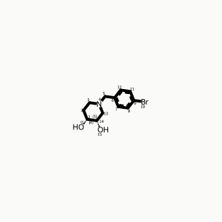 O[C@@H]1CCN(Cc2ccc(Br)cc2)C[C@@H]1O